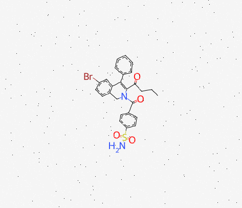 CCCC(=O)C1=C(c2ccccc2)c2cc(Br)ccc2CN1C(=O)c1ccc(S(N)(=O)=O)cc1